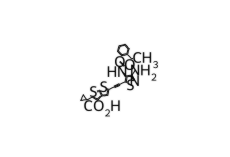 CC(OC(=O)Nc1c(N)nsc1C#Cc1cc2cc(C3(C(=O)O)CC3)sc2s1)c1ccccc1